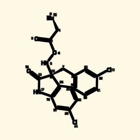 CC[C@H](C)CC(=O)ON[C@]1(Cc2cccc(Cl)c2)C(=O)Nc2cc(Cl)ccc21